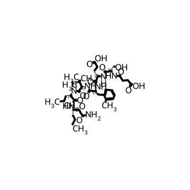 CCCC[C@H](NC(=O)[C@H](CC(C)C)NC(=O)[C@@H](NC(=O)[C@H](Cc1ccccc1C)NC(=O)[C@H](CCC(=O)O)NC(=O)[C@H](CO)NC(=O)CCC(=O)O)C(C)(C)C)C(=O)C(N)=O